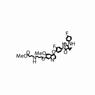 COC(=O)CCNCCCOc1cc2nccc(Oc3ccc(NC(=O)C4(C(=O)Nc5ccc(F)cc5)CC4)cc3F)c2cc1OC